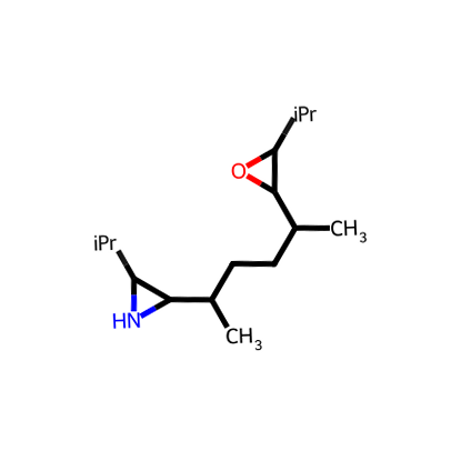 CC(C)C1NC1C(C)CCC(C)C1OC1C(C)C